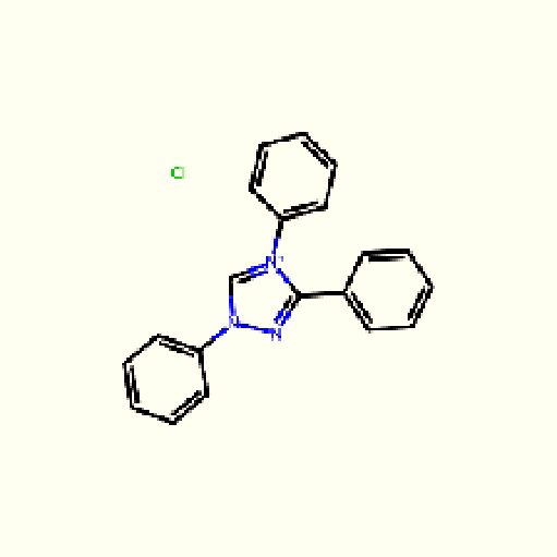 [Cl-].c1ccc(-c2nn(-c3ccccc3)c[n+]2-c2ccccc2)cc1